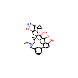 CCCN(Cc1cccc(-c2ccc(O)c3c2CC2CC4CC(O)=C(C(N)=O)[C@@](C)(C5(C)CC5)C4C(O)=C2C3=O)c1)CC1CC1